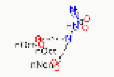 CCCCCCCCCOC(=O)CCCCCCCN(CCCCCCCC(=O)OC(CCCCCCCC)CCCCCCCC)CCCNc1c(N2CCN(C)CC2)c(=O)c1=O